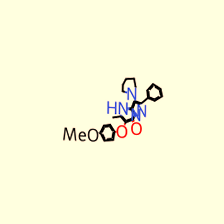 COc1ccc(Oc2c(C)[nH]c3c(N4CCCCC4)c(-c4ccccc4)nn3c2=O)cc1